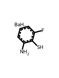 Nc1cccc(F)c1S.[BaH2]